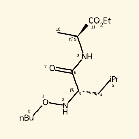 CCCCON[C@@H](CC(C)C)C(=O)N[C@@H](C)C(=O)OCC